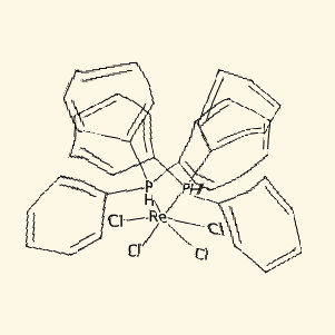 [Cl][Re]([Cl])([Cl])([Cl])([PH](c1ccccc1)(c1ccccc1)c1ccccc1)[PH](c1ccccc1)(c1ccccc1)c1ccccc1